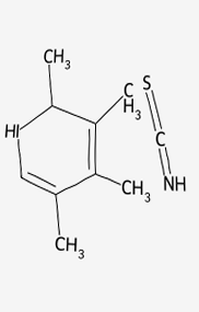 CC1=C[IH]C(C)C(C)=C1C.N=C=S